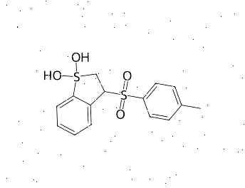 Cc1ccc(S(=O)(=O)C2CS(O)(O)c3ccccc32)cc1